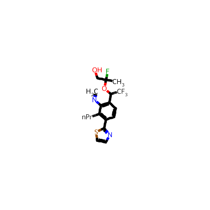 C=Nc1c(C(OC(C)(F)CO)C(F)(F)F)ccc(-c2nccs2)c1CCC